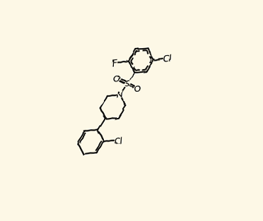 O=S(=O)(c1cc(Cl)ccc1F)N1CCC(C2C=CCC=C2Cl)CC1